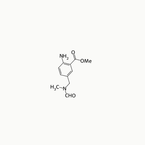 COC(=O)c1cc(CN(C)C=O)ccc1N